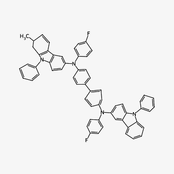 CC1C=Cc2c(n(-c3ccccc3)c3ccc(N(c4ccc(F)cc4)c4ccc(-c5ccc(N(c6ccc(F)cc6)c6ccc7c(c6)c6ccccc6n7-c6ccccc6)cc5)cc4)cc23)C1